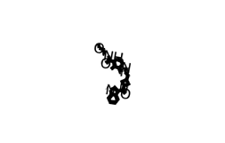 COCCNC(=O)c1ccc2nn(CC3CN(C(=O)c4cn(C)c5ccccc45)C3)cc2c1C